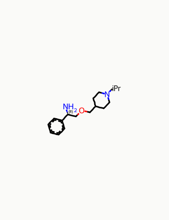 CC(C)N1CCC(COC[C@H](N)c2ccccc2)CC1